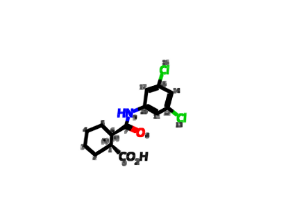 O=C(O)[C@H]1CCCC[C@H]1C(=O)Nc1cc(Cl)cc(Cl)c1